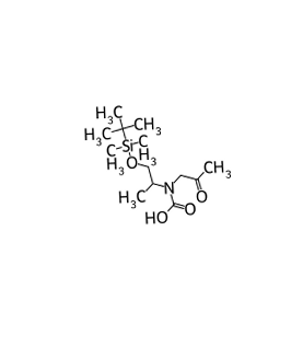 CC(=O)CN(C(=O)O)C(C)CO[Si](C)(C)C(C)(C)C